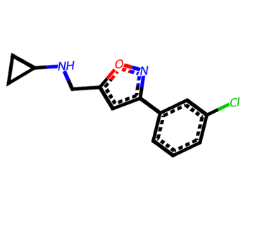 Clc1cccc(-c2cc(CNC3CC3)on2)c1